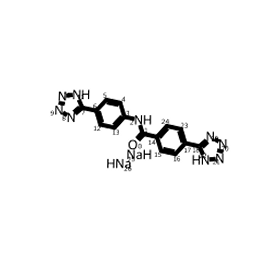 O=C(Nc1ccc(-c2nnn[nH]2)cc1)c1ccc(-c2nnn[nH]2)cc1.[NaH].[NaH]